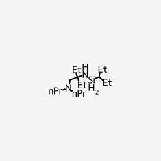 CCCN(CCC)CC(CC)(CC)N[SiH2]C(CC)CC